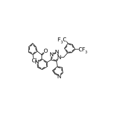 O=C(c1ccccc1Cl)c1ncccc1-c1nnn(Cc2cc(C(F)(F)F)cc(C(F)(F)F)c2)c1-c1ccncc1